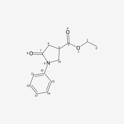 CCOC(=O)C1CC(=O)N(c2ccccc2)C1